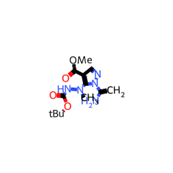 C=C(N)n1ncc(C(=O)OC)c1N(C)NC(=O)OC(C)(C)C